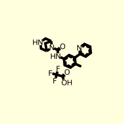 Cc1ccc(NC(=O)N2C3CNCC2C3)cc1-c1ccccn1.O=C(O)C(F)(F)F